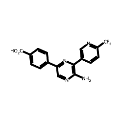 Nc1ncc(-c2ccc(C(=O)O)cc2)nc1-c1ccc(C(F)(F)F)nc1